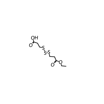 CCOC(=O)CCSSSCCC(=O)O